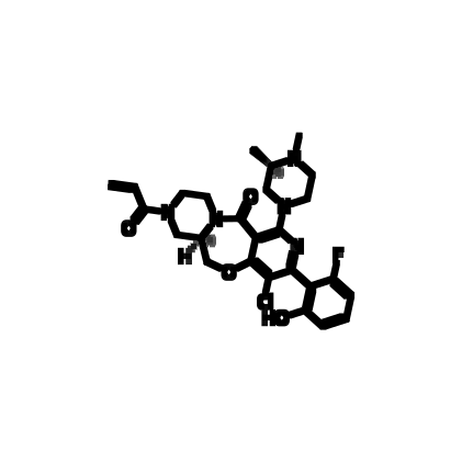 C=CC(=O)N1CCN2C(=O)c3c(N4CCN(C)[C@H](C)C4)nc(-c4c(O)cccc4F)c(Cl)c3OC[C@H]2C1